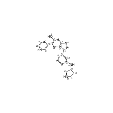 Oc1cc2ncc(-c3cccc(NC4CCNC4)n3)n2cc1-c1cccnc1